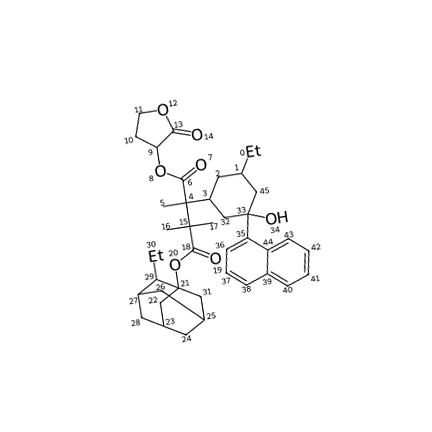 CCC1CC(C(C)(C(=O)OC2CCOC2=O)C(C)(C)C(=O)OC23CC4CC(CC(C4)C2CC)C3)CC(O)(c2cccc3ccccc23)C1